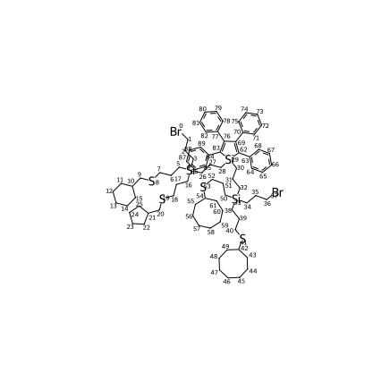 BrCCC[Si](CCCSCC1CCCCC1)(CCCSCC1CCCC1)CCC[Si]1(CCC[Si](CCCBr)(CCCSC2CCCCCCC2)CCCSC2CCCCCCC2)C(c2ccccc2)=C(c2ccccc2)C(c2ccccc2)=C1c1ccccc1